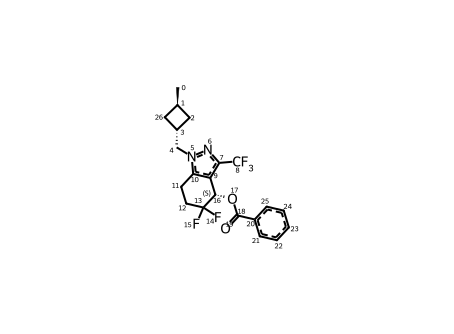 C[C@H]1C[C@H](Cn2nc(C(F)(F)F)c3c2CCC(F)(F)[C@H]3OC(=O)c2ccccc2)C1